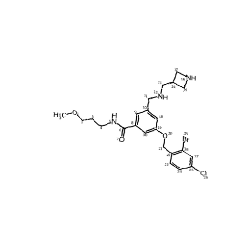 COCCCNC(=O)c1cc(CNCC2CNC2)cc(OCc2ccc(Cl)cc2Br)c1